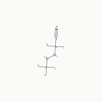 CC(C)(C)OOC(C)(C)C#N